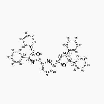 c1ccc([C@H]2OC(c3cccc(C4=N[C@@H](c5ccccc5)[C@@H](c5ccccc5)O4)n3)=N[C@H]2c2ccccc2)cc1